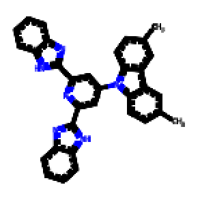 Cc1ccc2c(c1)c1cc(C)ccc1n2-c1cc(-c2nc3ccccc3[nH]2)nc(-c2nc3ccccc3[nH]2)c1